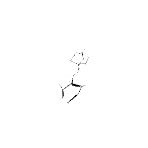 Fc1ccc(Cl)c(F)c1NCC12CCC(F)(CC1)C2